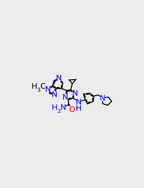 Cn1cnc2c(-c3nc(C(N)=O)c(Nc4ccc(CN5CCCC5)cc4)nc3C3CC3)cncc21